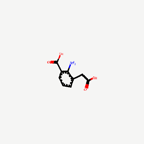 Nc1c(CC(=O)O)cccc1C(=O)O